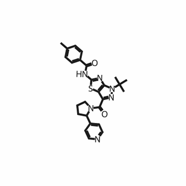 Cc1ccc(C(=O)Nc2nc3c(s2)c(C(=O)N2CCCC2c2ccncc2)nn3C(C)(C)C)cc1